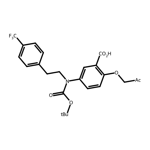 CC(=O)COc1ccc(N(CCc2ccc(C(F)(F)F)cc2)C(=O)OC(C)(C)C)cc1C(=O)O